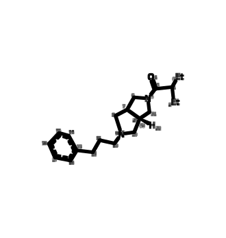 CCC(CC)C(=O)N1CC2CN(CC[CH]c3ccccc3)C[C@H]2C1